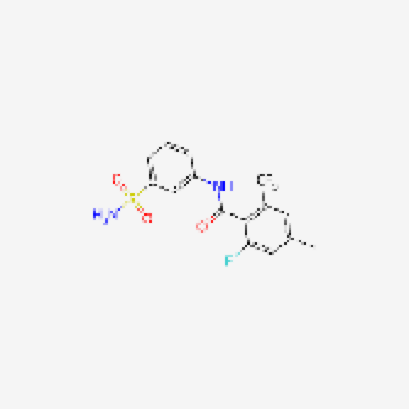 Cc1cc(F)c(C(=O)Nc2cccc(S(N)(=O)=O)c2)c(C(F)(F)F)c1